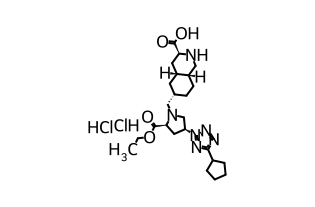 CCOC(=O)[C@@H]1C[C@H](n2nnc(C3CCCC3)n2)CN1C[C@H]1CC[C@H]2CN[C@H](C(=O)O)C[C@H]2C1.Cl.Cl